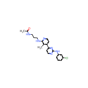 CC(=O)NCCCNc1nccc(-c2ccnc(Nc3cccc(Cl)c3)n2)c1C